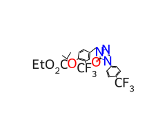 CCOC(=O)C(C)(C)Oc1ccc(Cn2ncn(-c3ccc(C(F)(F)F)cc3)c2=O)cc1C(F)(F)F